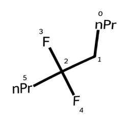 [CH2]CCCC(F)(F)CCC